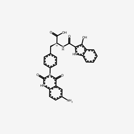 Nc1ccc2[nH]c(=O)n(-c3ccc(C[C@H](NC(=O)c4[nH]c5ccccc5c4O)C(=O)O)cc3)c(=O)c2c1